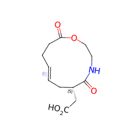 O=C(O)C[C@@H]1C/C=C/CCC(=O)OCCNC1=O